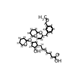 COCc1cccc(C[C@@H](/C=C/[C@@H]2[C@@H](CCSCCCC(=O)O)[C@@H](O)C[C@H]2OC2CCCCO2)OC2CCCCO2)c1